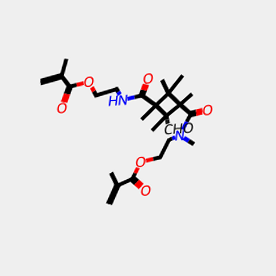 C=C(C)C(=O)OCCNC(=O)C1(C)C(C)(C)C(C)(C(=O)N(C)CCOC(=O)C(=C)C)C1(C)C=O